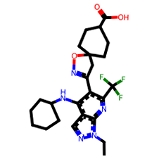 CCn1ncc2c(NC3CCCCC3)c(C3=NOC4(CCC(C(=O)O)CC4)C3)c(C(F)(F)F)nc21